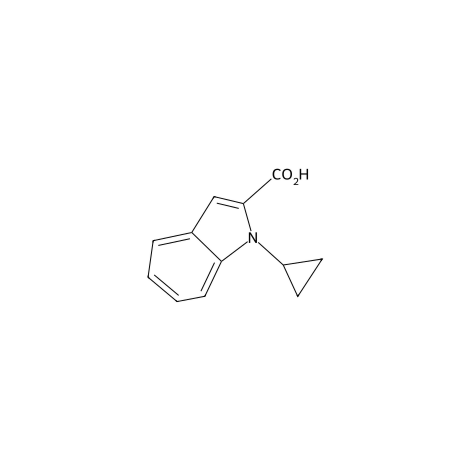 O=C(O)c1cc2ccccc2n1C1CC1